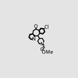 COOSN1CCC(C2c3ccc(Cl)cc3C(=O)Cc3cccnc32)CC1